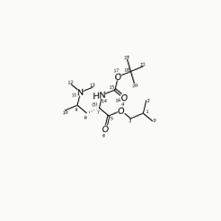 CC(C)COC(=O)[C@H](CC(C)N(C)C)NC(=O)OC(C)(C)C